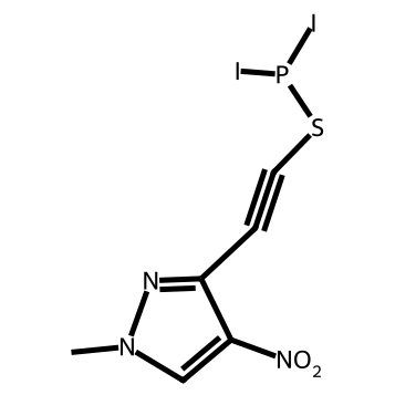 Cn1cc([N+](=O)[O-])c(C#CSP(I)I)n1